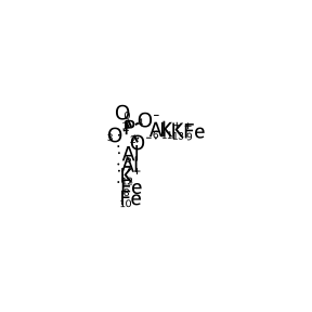 O=P([O-])([O-])[O-].[Al].[Al].[Al].[Fe].[Fe].[Fe].[K+].[K+].[K+]